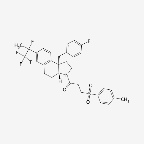 Cc1ccc(S(=O)(=O)CCC(=O)N2CC[C@@]3(Cc4ccc(F)cc4)c4ccc(C(C)(F)C(F)(F)F)cc4CC[C@@H]23)cc1